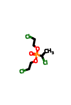 CC(Cl)P(=O)(OCCCl)OCCCl